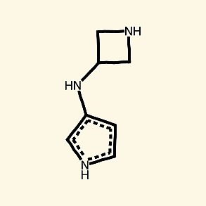 c1cc(NC2CNC2)c[nH]1